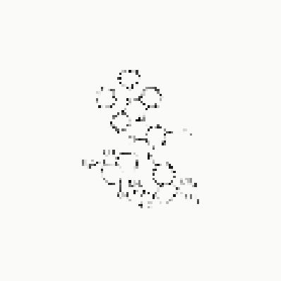 Cc1cc(N(c2ccc3c(c2)C(C)(C)CCC3(C)C)c2ccc3c(c2)C(C)(C)CCC3(C)C)c(Cl)c(N2c3ccccc3[Si](c3ccccc3)(c3ccccc3)c3ccccc32)c1